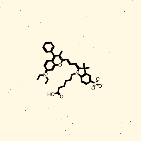 CC[N+](CC)=c1ccc2c(-c3ccccc3)c(C)c(C=CC=C3N(CCCCCC(=O)O)c4ccc(S(=O)(=O)[O-])cc4C3(C)C)oc-2c1